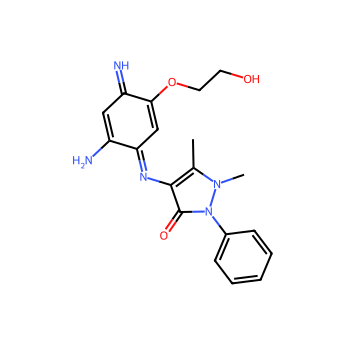 Cc1c(/N=C2\C=C(OCCO)C(=N)C=C2N)c(=O)n(-c2ccccc2)n1C